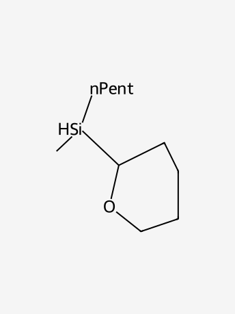 CCCCC[SiH](C)C1CCCCO1